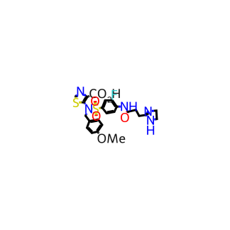 COc1ccc(CN(c2scnc2C(=O)O)S(=O)(=O)c2ccc(NC(=O)CCC3=NCCN3)c(F)c2)cc1